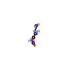 COc1ccc(NS(=O)(=O)c2ccc(-c3cnc4[nH]c(CCc5cc(OC)ccn5)nc4c3)cc2)cc1